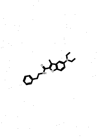 CCN(CC)c1ccc2oc(C(=O)NCCc3ccccc3)c(C)c2c1